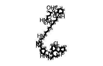 CC(CCC(=O)NC=O)N(C)Cc1c(C=O)cccc1NC(=O)CCCCCCCCCNCCn1cc(-c2ccc(Nc3ncc4c(n3)-c3ccc(Cl)cc3C(c3c(F)cccc3F)=NC4)cc2)nn1